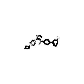 [O-][S+](c1ccc(-c2cccc(Cl)c2)cc1)N1CCN=C1N1CCN(C2CCC2)CC1